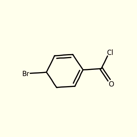 O=C(Cl)C1=CCC(Br)C=C1